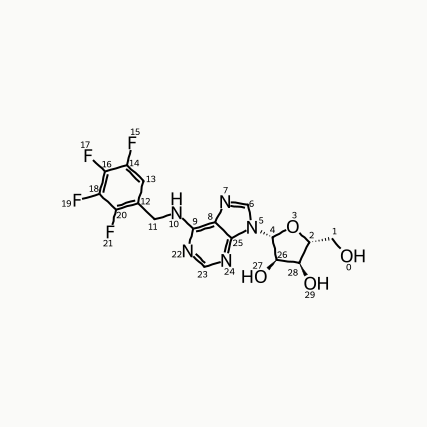 OC[C@H]1O[C@@H](n2cnc3c(NCc4cc(F)c(F)c(F)c4F)ncnc32)[C@H](O)[C@@H]1O